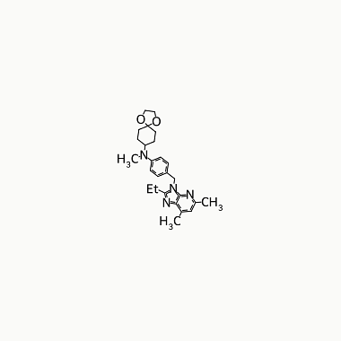 CCc1nc2c(C)cc(C)nc2n1Cc1ccc(N(C)C2CCC3(CC2)OCCO3)cc1